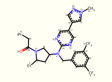 CCC1CC(N(Cc2cc(C(F)(F)F)cc(C(F)(F)F)c2)c2ncc(-c3cnn(C)c3)cn2)CN1C(=O)CC(C)C